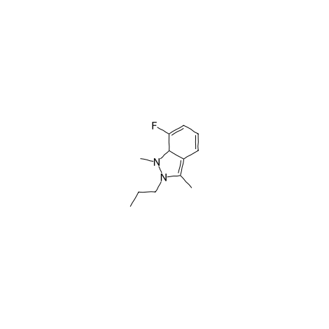 CCCN1C(C)=C2C=CC=C(F)C2N1C